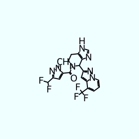 Cn1nc(C(F)F)cc1C(=O)N1CCc2[nH]cnc2C1c1cc2c(C(F)(F)F)cccn2n1